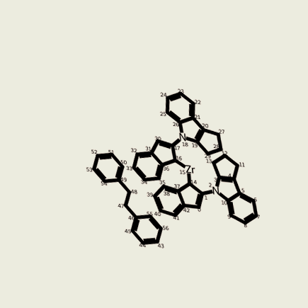 C1=C(n2c3c(c4ccccc42)CCC3)[CH]([Zr][CH]2C(n3c4c(c5ccccc53)CCC4)=Cc3ccccc32)c2ccccc21.c1ccc(CCc2ccccc2)cc1